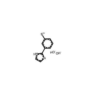 [B+2]c1cccc(-c2ncc[nH]2)c1.[OH-].[OH-]